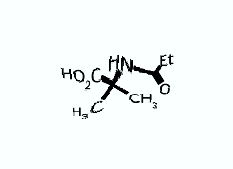 CCC(=O)NC(C)(C)C(=O)O